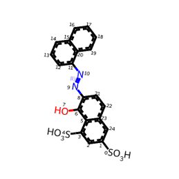 O=S(=O)(O)c1cc(S(=O)(=O)O)c2c(O)c(/N=N/c3cccc4ccccc34)ccc2c1